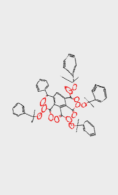 CC(C)(OOC(=O)c1cc(C(=O)c2ccccc2)c(C(=O)OOC(C)(C)c2ccccc2)c(C(=O)OOC(C)(C)c2ccccc2)c1C(=O)OOC(C)(C)c1ccccc1)c1ccccc1